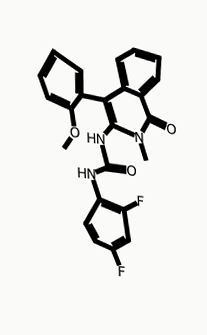 COc1ccccc1-c1c(NC(=O)Nc2ccc(F)cc2F)n(C)c(=O)c2ccccc12